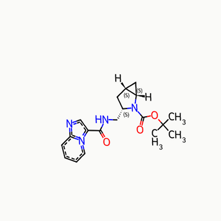 CC(C)(C)OC(=O)N1[C@H](CNC(=O)c2cnc3ccccn23)C[C@@H]2C[C@@H]21